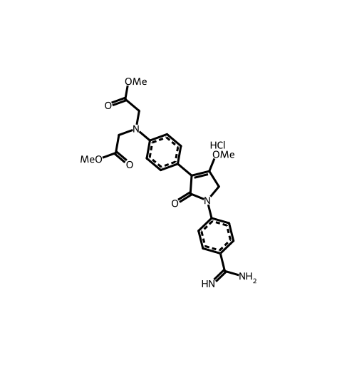 COC(=O)CN(CC(=O)OC)c1ccc(C2=C(OC)CN(c3ccc(C(=N)N)cc3)C2=O)cc1.Cl